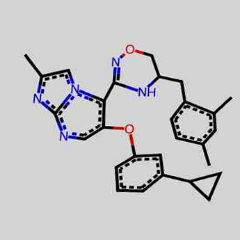 Cc1ccc(CC2CON=C(c3c(Oc4cccc(C5CC5)c4)cnc4nc(C)cn34)N2)c(C)c1